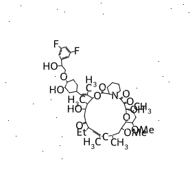 CCC1/C=C(\C)CC(C)CC(OC)C2OC(O)(C(=O)C(=O)N3CCCCC3C(=O)OC(C(C)=CC3CCC(OCC(O)c4cc(F)cc(F)c4)C(O)C3)C(C)C(O)CC1=O)C(C)CC2OC